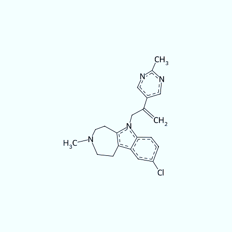 C=C(Cn1c2c(c3cc(Cl)ccc31)CCN(C)CC2)c1cnc(C)nc1